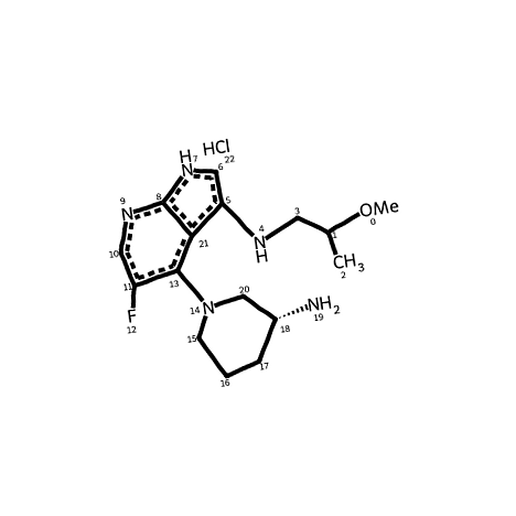 COC(C)CNc1c[nH]c2ncc(F)c(N3CCC[C@@H](N)C3)c12.Cl